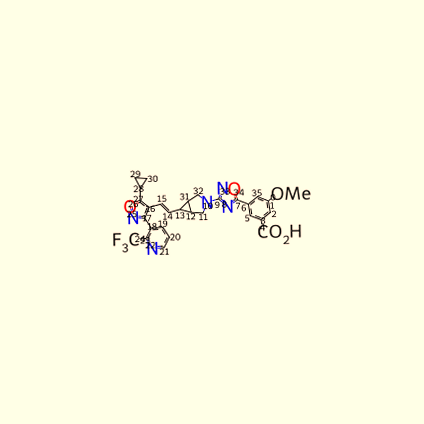 COc1cc(C(=O)O)cc(-c2nc(N3CC4C(/C=C/c5c(-c6cccnc6C(F)(F)F)noc5C5CC5)C4C3)no2)c1